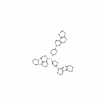 c1ccc2c(c1)-c1cccc3c(N(c4ccc(-c5ccc6c(ccc7ccccc76)c5)cc4)c4ccc(-c5cccc6c5oc5ccccc56)cc4)ccc-2c13